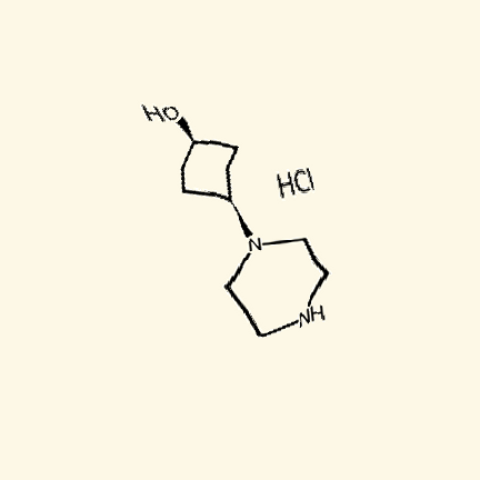 Cl.O[C@H]1C[C@@H](N2CCNCC2)C1